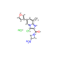 Cl.NC1CN(C(=O)c2nc3c(C(F)(F)F)cc(-c4ccoc4)cn3c2Cl)C1